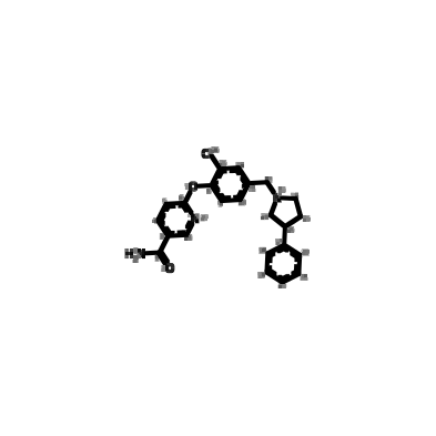 NC(=O)c1ccc(Oc2ccc(CN3CCC(c4ccccc4)C3)cc2Cl)nc1